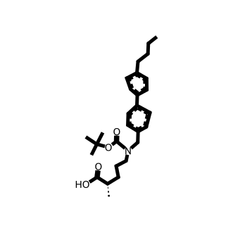 CCCCc1ccc(-c2ccc(CN(CCC[C@H](C)C(=O)O)C(=O)OC(C)(C)C)cc2)cc1